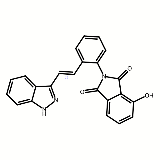 O=C1c2cccc(O)c2C(=O)N1c1ccccc1/C=C/c1n[nH]c2ccccc12